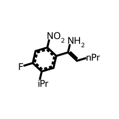 CCC/C=C(\N)c1cc(C(C)C)c(F)cc1[N+](=O)[O-]